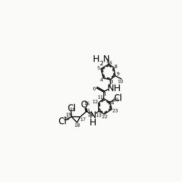 C=C(Nc1ccc(N)cc1C)c1cc(NC(=O)C2CC2(Cl)Cl)ccc1Cl